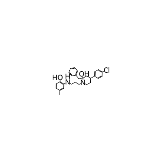 Cc1ccc(O)c(NCCCN2CCC(c3ccc(Cl)cc3)CC2(O)Cc2ccccc2)c1